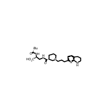 CC[C@@H](C)C(=O)N[C@@H](CNC(=O)[C@@H]1CCCN(CCCc2ccc3c(n2)NCCC3)C1)C(=O)O